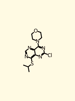 CC(C)Sc1ncnc2c(N3CCOCC3)nc(Cl)nc12